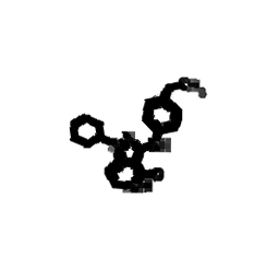 CCc1ccc(Nc2nn(C3CCCCC3)c3cc[nH]c(=O)c23)cc1